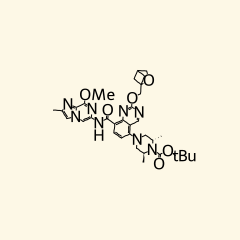 COc1nc(NC(=O)c2ccc(N3C[C@H](C)N(C(=O)OC(C)(C)C)[C@@H](C)C3)c3cnc(OCC45CC(CO4)C5)nc23)cn2cc(C)nc12